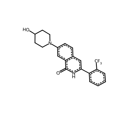 O=c1[nH]c(-c2ccccc2C(F)(F)F)cc2ccc(N3CCC(O)CC3)cc12